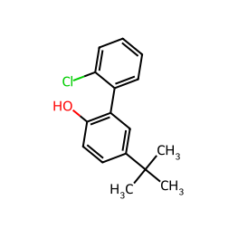 CC(C)(C)c1ccc(O)c(-c2ccccc2Cl)c1